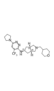 FC(F)(F)c1cc(N2CCCC2)nnc1N[C@H]1C[C@@H]2CN(CC3CCOCC3)C[C@@H]2C1